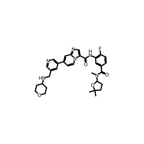 CN(C(=O)c1ccc(F)c(NC(=O)c2cnc3cc(-c4cncc(CNC5CCOCC5)c4)ccn23)c1)C1CCC(C)(C)O1